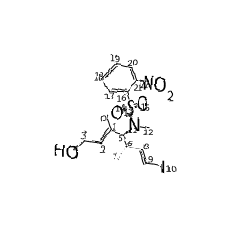 C/C(=C\CO)[C@H]([C@@H](C)/C=C/I)N(C)S(=O)(=O)c1ccccc1[N+](=O)[O-]